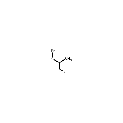 CC(C)SBr